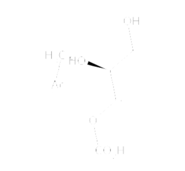 CC(C)=O.O=C(O)OC[C@@H](O)CO